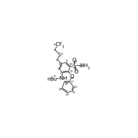 CCCCNc1cc(CSCC(F)(F)F)cc(S(N)(=O)=O)c1Oc1ccccc1